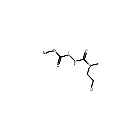 CN(CCCl)C(=O)NNC(=O)OC(C)(C)C